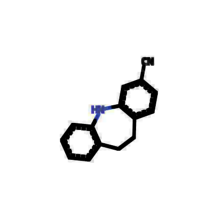 N#Cc1ccc2c(c1)Nc1ccccc1CC2